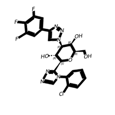 OC[C@H]1O[C@@H](c2nncn2-c2ccccc2Cl)[C@H](O)[C@@H](n2cc(-c3cc(F)c(F)c(F)c3)nn2)[C@H]1O